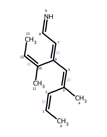 C\C=C/C(C)=C\C(=C\C=N)C(\C)=C/C